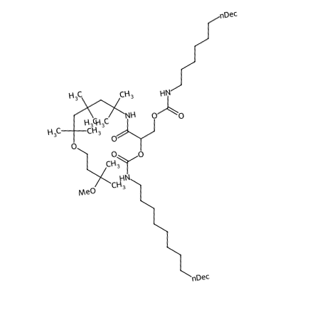 CCCCCCCCCCCCCCCCCCNC(=O)OC(COC(=O)NCCCCCCCCCCCCCCCC)C(=O)NC(C)(C)CC(C)(C)CC(C)(C)OCCC(C)(C)OC